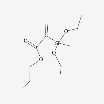 C=C(C(=O)OCCC)[Si](C)(OCC)OCC